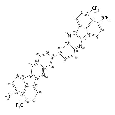 FC(F)(F)c1ccc2c3c(ccc(C(F)(F)F)c13)-c1nc3cc(-c4ccc5nc6c(nc5c4)-c4ccc(C(F)(F)F)c5c(C(F)(F)F)ccc-6c45)ccc3nc1-2